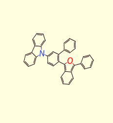 c1ccc(-c2cc(-n3c4ccccc4c4ccccc43)ccc2-c2oc(-c3ccccc3)c3ccccc23)cc1